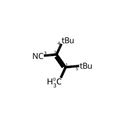 C/C(=C(\C#N)C(C)(C)C)C(C)(C)C